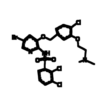 CN(C)CCOc1cc(COc2cc(Br)cnc2NS(=O)(=O)c2cccc(Cl)c2Cl)ccc1Cl